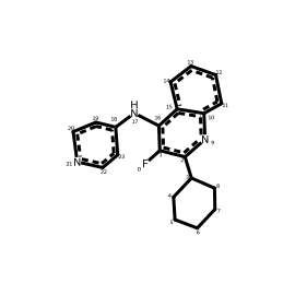 Fc1c(C2CCCCC2)nc2ccccc2c1Nc1ccncc1